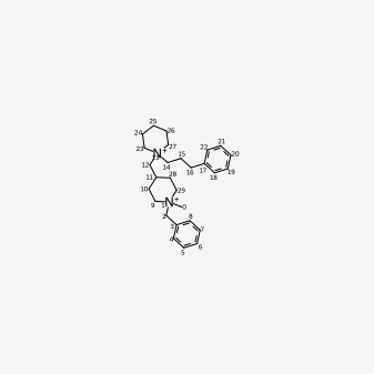 C[N+]1(Cc2ccccc2)CCC(C[N+]2(CCCc3ccccc3)CCCCC2)CC1